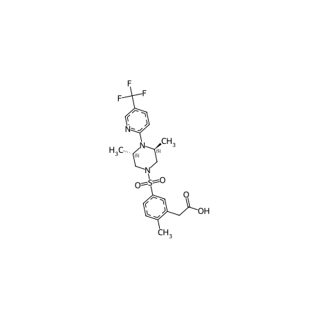 Cc1ccc(S(=O)(=O)N2C[C@H](C)N(c3ccc(C(F)(F)F)cn3)[C@@H](C)C2)cc1CC(=O)O